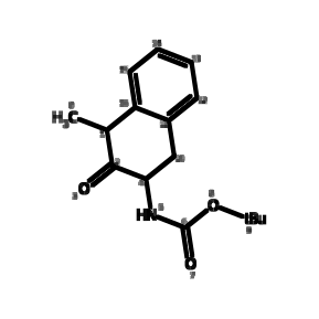 CC1C(=O)C(NC(=O)OC(C)(C)C)Cc2ccccc21